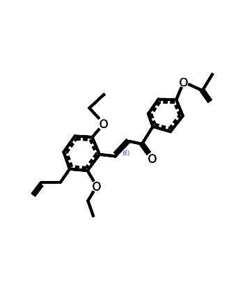 C=CCc1ccc(OCC)c(/C=C/C(=O)c2ccc(OC(=C)C)cc2)c1OCC